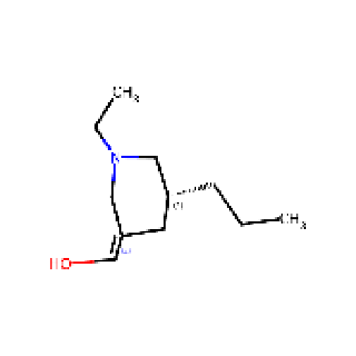 CCC[C@@H]1C/C(=C/O)CN(CC)C1